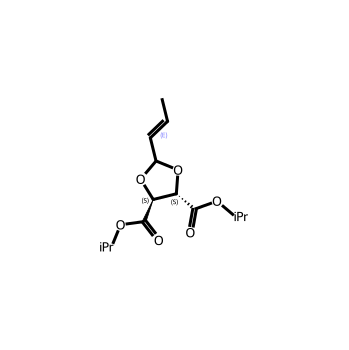 C/C=C/C1O[C@H](C(=O)OC(C)C)[C@@H](C(=O)OC(C)C)O1